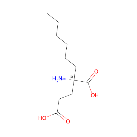 CCCCCC[C@](N)(CCC(=O)O)C(=O)O